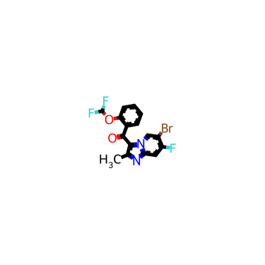 Cc1nc2cc(F)c(Br)cn2c1C(=O)c1ccccc1OC(F)F